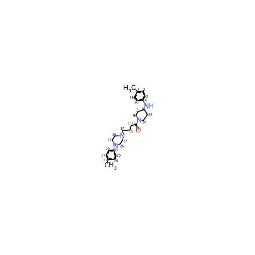 Cc1ccc(NC2CCN(C(=O)CCCN3CCN(c4ccc(C)cc4)CC3)CC2)cc1